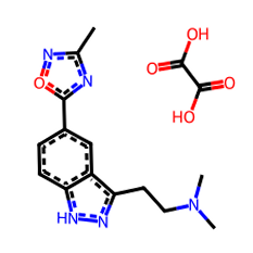 Cc1noc(-c2ccc3[nH]nc(CCN(C)C)c3c2)n1.O=C(O)C(=O)O